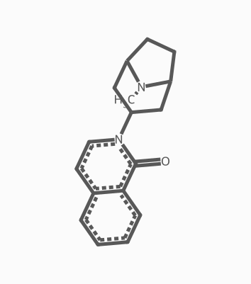 CN1C2CCC1CC(n1ccc3ccccc3c1=O)C2